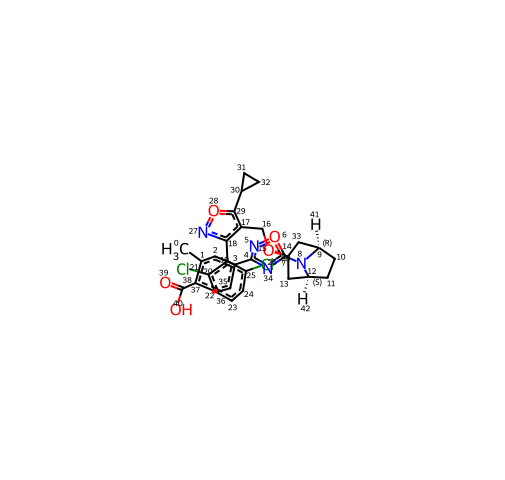 Cc1cc(-c2noc(N3[C@@H]4CC[C@H]3C[C@@H](OCc3c(-c5c(Cl)cccc5Cl)noc3C3CC3)C4)n2)ccc1C(=O)O